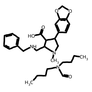 CCCCN(C=O)CCCC.CN1CC(c2ccc3c(c2)OCO3)C(C(=O)O)C1CNCc1ccccc1